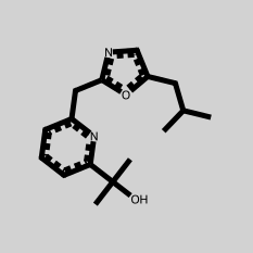 CC(C)Cc1cnc(Cc2cccc(C(C)(C)O)n2)o1